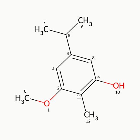 COc1cc(C(C)C)cc(O)c1C